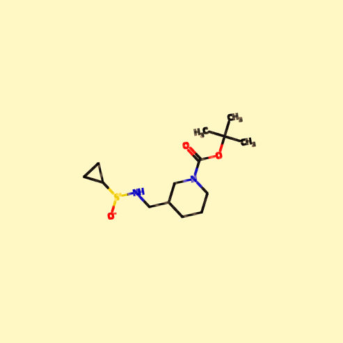 CC(C)(C)OC(=O)N1CCCC(CN[S+]([O-])C2CC2)C1